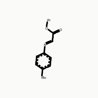 CC(C)OC(=O)C=Nc1ccc(C(C)(C)C)cc1